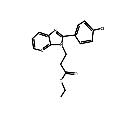 CCOC(=O)CCn1c(-c2ccc(Cl)cc2)nc2cccnc21